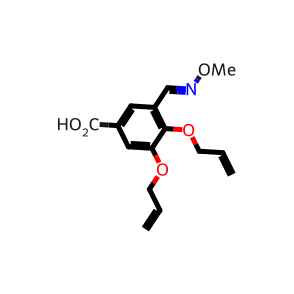 C=CCOc1cc(C(=O)O)cc(/C=N/OC)c1OCC=C